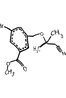 COC(=O)c1cc(Br)cc(OC(C)(C)C#N)c1